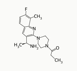 CCC(=O)N1CCN(c2nc3c(C)c(F)ccc3cc2[C@H](C)N)CC1